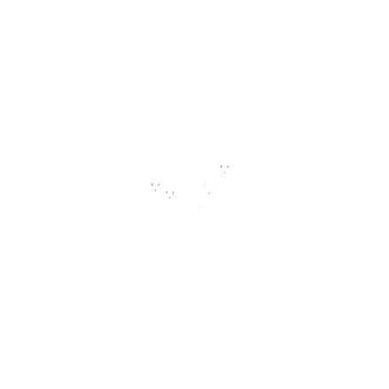 S.S.S.S.[Mo].[Mo].[Mo]